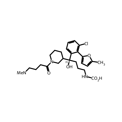 CNCCCC(=O)N1CCCC([C@@](O)(CCCNC(=O)O)c2cccc(Cl)c2-c2ccc(C)o2)C1